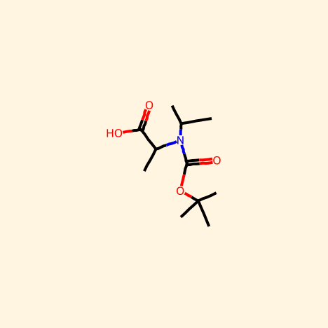 CC(C)N(C(=O)OC(C)(C)C)C(C)C(=O)O